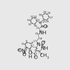 CC1=C(C(=O)O)C(c2cccc([N+](=O)[O-])c2)N(CCCNCC(=O)C(c2ccccc2)c2ccccc2)C(=O)N1